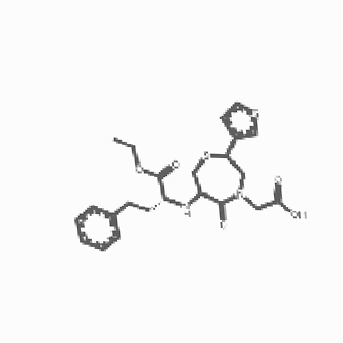 CCOC(=O)[C@@H](CCc1ccccc1)NC1CSC(c2ccsc2)CN(CC(=O)O)C1=O